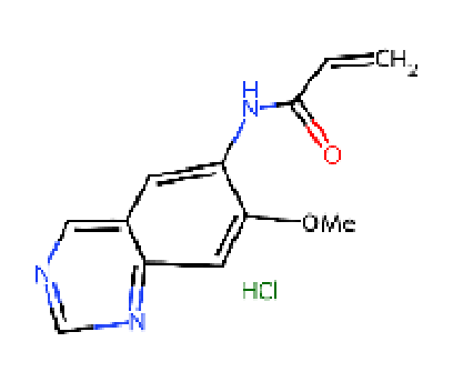 C=CC(=O)Nc1cc2cncnc2cc1OC.Cl